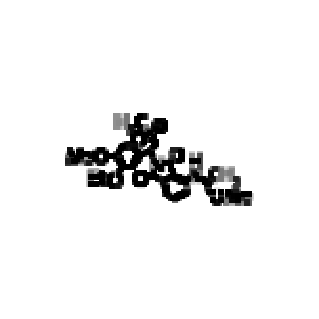 C=C(COC)Nc1cccc2c1C(=O)N(C(CS(C)(=O)=O)c1ccc(OC)c(OCC)c1)C2=O